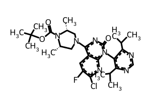 CC(C)c1ncnc(C(C)C)c1-n1c(=O)nc(N2C[C@@H](C)N(C(=O)OC(C)(C)C)[C@@H](C)C2)c2cc(F)c(Cl)nc21